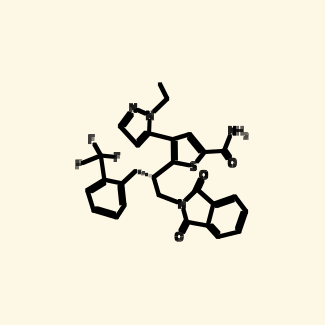 CCn1nccc1-c1cc(C(N)=O)sc1[C@@H](Cc1ccccc1C(F)(F)F)CN1C(=O)c2ccccc2C1=O